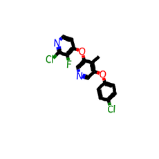 Cc1c(Oc2ccc(Cl)cc2)cncc1Oc1ccnc(Cl)c1F